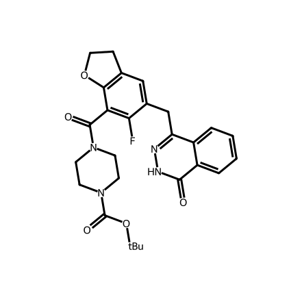 CC(C)(C)OC(=O)N1CCN(C(=O)c2c(F)c(Cc3n[nH]c(=O)c4ccccc34)cc3c2OCC3)CC1